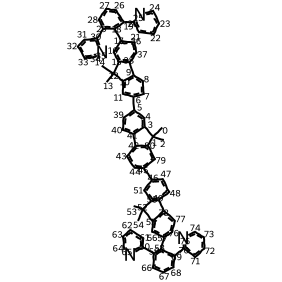 CC1(C)c2cc(-c3ccc4c(c3)C(C)(C)c3cc(-c5c(-c6ccccn6)cccc5-c5ccccn5)ccc3-4)ccc2-c2ccc(-c3ccc4c(c3)C(C)(C)c3cc(-c5c(-c6ccccn6)cccc5-c5ccccn5)ccc3-4)cc21